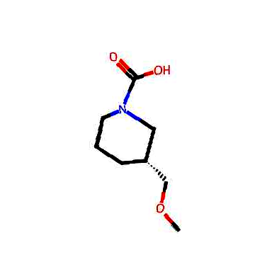 COC[C@@H]1CCCN(C(=O)O)C1